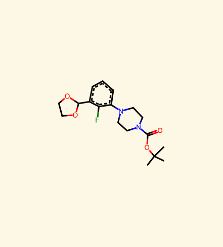 CC(C)(C)OC(=O)N1CCN(c2cccc(C3OCCO3)c2F)CC1